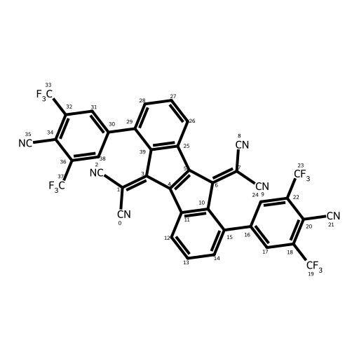 N#CC(C#N)=C1C2=C(C(=C(C#N)C#N)c3c2cccc3-c2cc(C(F)(F)F)c(C#N)c(C(F)(F)F)c2)c2cccc(-c3cc(C(F)(F)F)c(C#N)c(C(F)(F)F)c3)c21